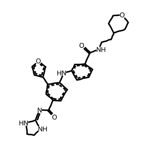 O=C(N=C1NCCN1)c1ccc(Nc2cccc(C(=O)NCCC3CCOCC3)c2)c(-c2ccoc2)c1